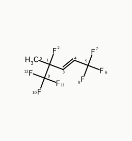 CC(F)(C=CC(F)(F)F)C(F)(F)F